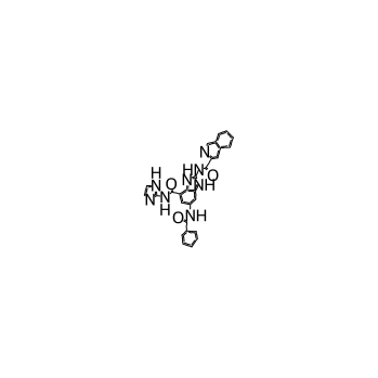 O=C(Nc1cc(C(=O)Nc2ncc[nH]2)c2nc(NC(=O)c3cc4ccccc4cn3)[nH]c2c1)c1ccccc1